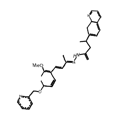 C=C(CC(C)C1=CC=C2C=CC=NC2C1)N/N=C(C)/C=C/C(/C=C\C(C)OCc1ccccn1)=C(/C)OC